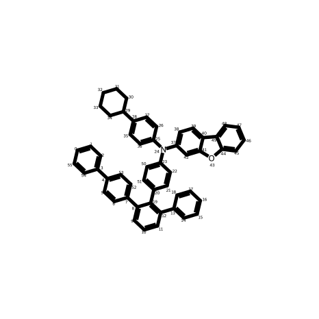 c1ccc(-c2ccc(-c3cccc(-c4ccccc4)c3-c3ccc(N(c4ccc(C5CCCCC5)cc4)c4ccc5c(c4)oc4ccccc45)cc3)cc2)cc1